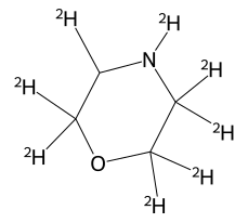 [2H]C1N([2H])C([2H])([2H])C([2H])([2H])OC1([2H])[2H]